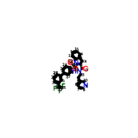 O=C(NCCc1cccnc1)[C@@H]1Cc2ccccc2N1S(=O)(=O)c1ccc(-c2cccc(C(F)(F)F)c2)cc1